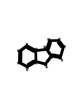 c1cnc2oc3ncccc3c2c1